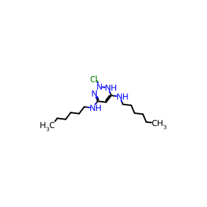 CCCCCCNC1=CC(NCCCCCC)=NN(Cl)N1